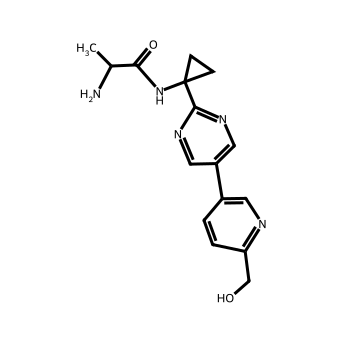 CC(N)C(=O)NC1(c2ncc(-c3ccc(CO)nc3)cn2)CC1